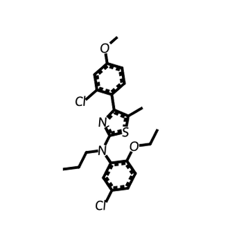 CCCN(c1nc(-c2ccc(OC)cc2Cl)c(C)s1)c1cc(Cl)ccc1OCC